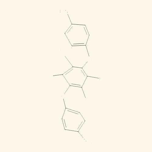 Nc1ccc(Oc2c(F)c(F)c(Oc3ccc(N)cc3)c(F)c2F)cc1